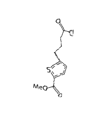 COC(=O)c1ccc(CCCC(=O)Cl)s1